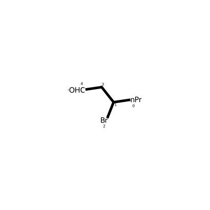 CCCC(Br)C[C]=O